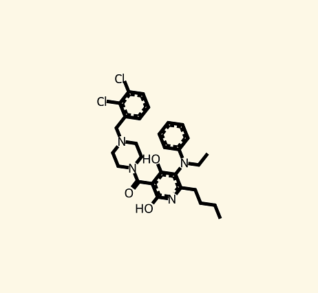 CCCCc1nc(O)c(C(=O)N2CCN(Cc3cccc(Cl)c3Cl)CC2)c(O)c1N(CC)c1ccccc1